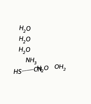 N.N#CS.O.O.O.O.O